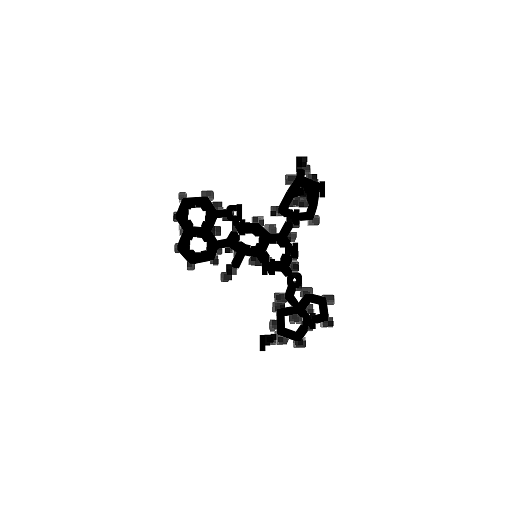 Fc1c(-c2cccc3cccc(Cl)c23)ncc2c(N3CC4CC(F)C(C3)N4)nc(OC[C@@]34CCCN3C[C@H](F)C4)nc12